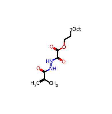 C=C(C)C(=O)NNC(=O)C(=O)OCCCCCCCCCC